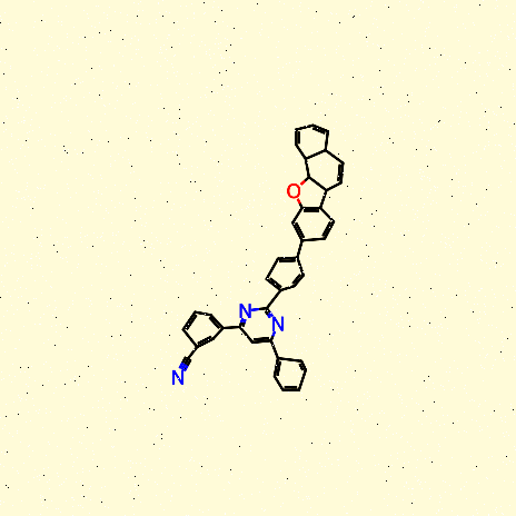 N#Cc1cccc(-c2cc(-c3ccccc3)nc(-c3ccc(-c4ccc5c(c4)OC4C5C=CC5C=CC=CC54)cc3)n2)c1